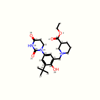 CCOC(=O)C1CCCN(Cc2cc(N3CCC(=O)NC3=O)cc(C(C)(C)C)c2O)C1